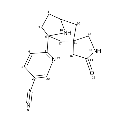 N#Cc1ccc(C23CCC(CC4(CNC(=O)C4)C2)N3)nc1